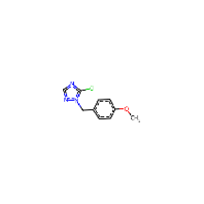 COc1ccc(Cn2ncnc2Cl)cc1